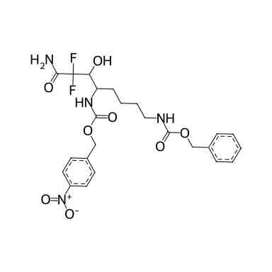 NC(=O)C(F)(F)C(O)C(CCCCNC(=O)OCc1ccccc1)NC(=O)OCc1ccc([N+](=O)[O-])cc1